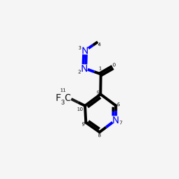 C=C(/N=N\C)c1cnccc1C(F)(F)F